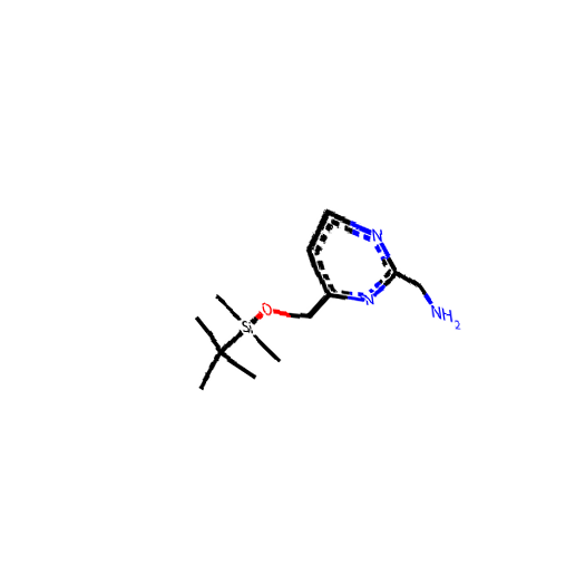 CC(C)(C)[Si](C)(C)OCc1ccnc(CN)n1